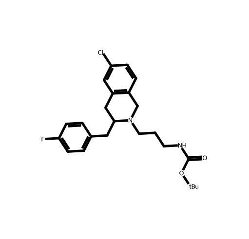 CC(C)(C)OC(=O)NCCCN1Cc2ccc(Cl)cc2CC1Cc1ccc(F)cc1